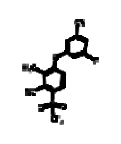 Cc1c(Oc2cc(F)cc(C#N)c2)ccc(S(=O)(=O)C(F)(F)F)c1C#N